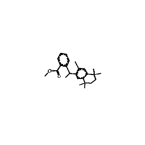 COC(=O)c1ccccc1C(C)c1cc2c(cc1C)C(C)(C)CCC2(C)C